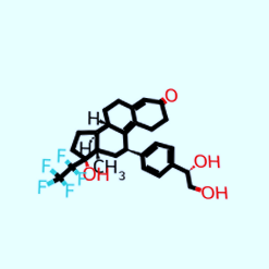 C[C@]12C[C@H](c3ccc([C@H](O)CO)cc3)C3=C4CCC(=O)C=C4CC[C@H]3[C@@H]1CC[C@@]2(O)C(F)(F)C(F)(F)F